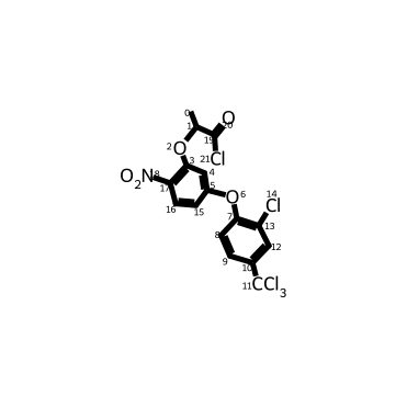 CC(Oc1cc(Oc2ccc(C(Cl)(Cl)Cl)cc2Cl)ccc1[N+](=O)[O-])C(=O)Cl